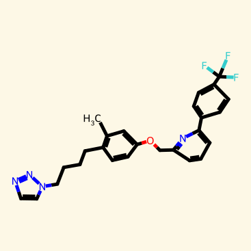 Cc1cc(OCc2cccc(-c3ccc(C(F)(F)F)cc3)n2)ccc1CCCCn1ccnn1